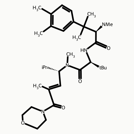 CN[C@@H](C(=O)N[C@H](C(=O)N(C)[C@H](/C=C(\C)C(=O)N1CCOCC1)C(C)C)C(C)(C)C)C(C)(C)c1ccc(C)c(C)c1